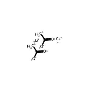 CC(=O)[O-].CC(=O)[O-].[Cs+].[Li+]